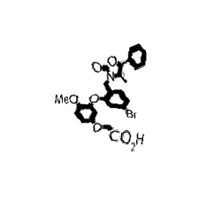 COc1ccc(OCC(=O)O)cc1Oc1cc(Br)ccc1CN1C(=O)O[C@@H](c2ccccc2)[C@H]1C